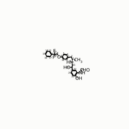 C[C@@H](Cc1ccc(OCC(F)(F)c2ccccc2)cc1)NC[C@H](O)c1ccc(O)c(NC=O)c1